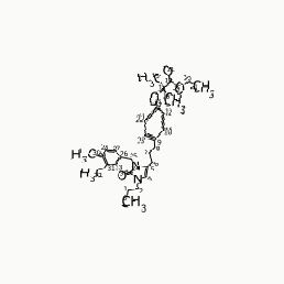 CCCn1cc(CCCc2ccc(OC(C)(C)C(=O)OCC)cc2)n(Cc2ccc(C)c(C)c2)c1=O